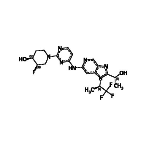 C[C@@H](O)c1nc2cnc(Nc3ccnc(N4CC[C@H](O)[C@H](F)C4)n3)cc2n1[C@H](C)C(F)(F)F